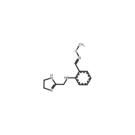 CO/N=C/c1ccccc1NCC1=NCCN1